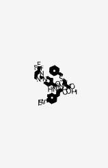 O=C(NC(CSCc1ccccc1)C(=O)O)C(=Cc1ccc(Br)cc1)NC(=O)C1CCN(c2nccc(C(F)(F)F)n2)CC1